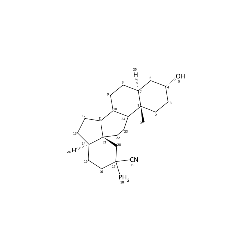 C[C@]12CC[C@@H](O)C[C@@H]1CCC1C3CC[C@@H]4CCC(P)(C#N)C[C@]34CCC12